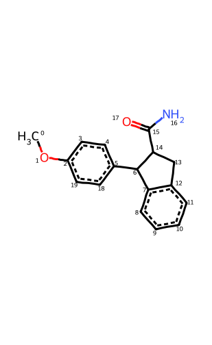 COc1ccc(C2c3ccccc3CC2C(N)=O)cc1